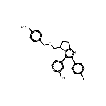 COc1ccc(COCC2CCc3nc(-c4ccc(F)cc4)c(-c4ccnc(S)c4)n32)cc1